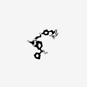 O=c1sc2cc(/C(=N/O)c3ccccc3)ccc2n1CCOc1ccc(Cc2nnn[nH]2)cc1